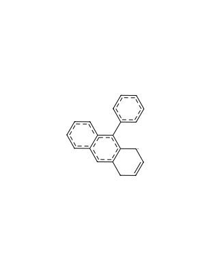 [CH]1C=CCc2cc3ccccc3c(-c3ccccc3)c21